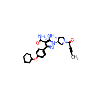 CC#CC(=O)N1CC[C@@H](n2nc(-c3ccc(OC4CCCCC4)cc3)c(C(N)=O)c2N)C1